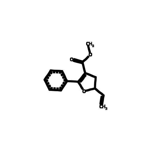 C=CC1CC(C(=O)OC)=C(c2ccccc2)O1